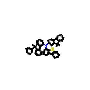 CC1(C)c2ccccc2-c2ccc(N(c3cccc4c3-c3ccccc3C4(C)c3ccccc3)c3cccc4c3sc3ccccc34)cc21